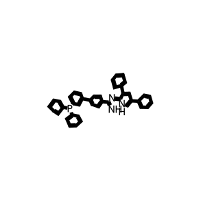 N=C(/N=c1\[nH]cc(-c2ccccc2)cc1-c1ccccc1)c1ccc(-c2cccc(P(c3ccccc3)c3ccccc3)c2)cc1